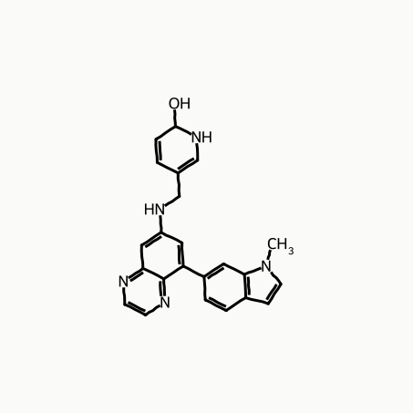 Cn1ccc2ccc(-c3cc(NCC4=CNC(O)C=C4)cc4nccnc34)cc21